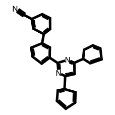 N#Cc1cccc(-c2cccc(-c3nc(-c4ccccc4)cc(C4C=CC=CC4)n3)c2)c1